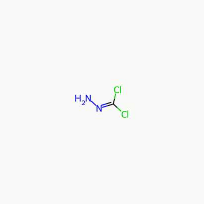 NN=C(Cl)Cl